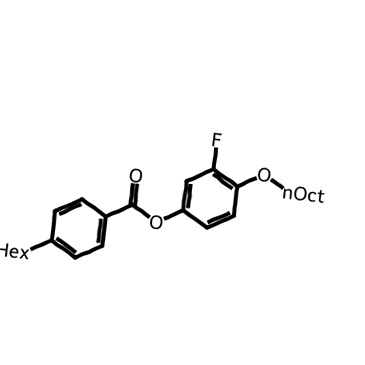 CCCCCCCCOc1ccc(OC(=O)c2ccc(CCCCCC)cc2)cc1F